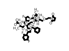 CC(=O)O[C@@H](C)C(=O)N(C[C@@H]1CN(C(=O)OC(C)(C)C)C[C@@H]1F)[C@@H](c1nc(-c2cc(F)ccc2F)cn1Cc1ccccc1)C(C)(C)COC(=O)NCCOCCN1C(=O)C=CC1=O